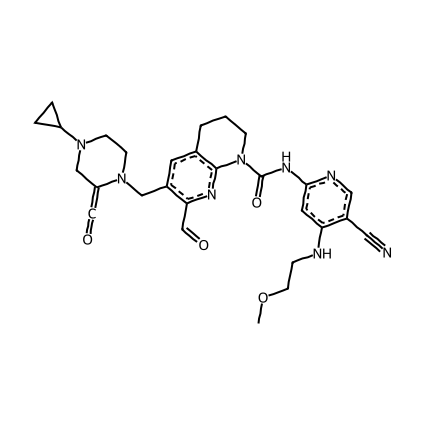 COCCNc1cc(NC(=O)N2CCCc3cc(CN4CCN(C5CC5)CC4=C=O)c(C=O)nc32)ncc1C#N